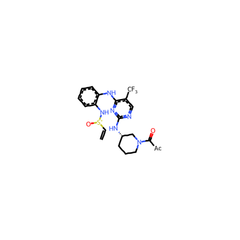 C=C[S+]([O-])Nc1ccccc1Nc1nc(N[C@H]2CCCN(C(=O)C(C)=O)C2)ncc1C(F)(F)F